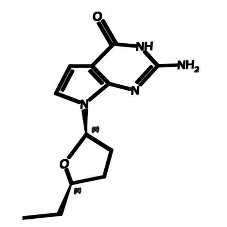 CC[C@@H]1CC[C@H](n2ccc3c(=O)[nH]c(N)nc32)O1